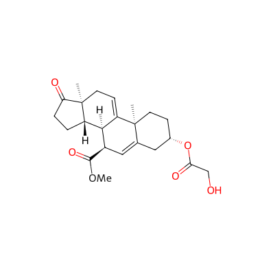 COC(=O)[C@@H]1C=C2C[C@@H](OC(=O)CO)CC[C@]2(C)C2=CC[C@]3(C)C(=O)CC[C@H]3[C@@H]21